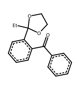 CCC1(c2ccccc2C(=O)c2ccccc2)OCCO1